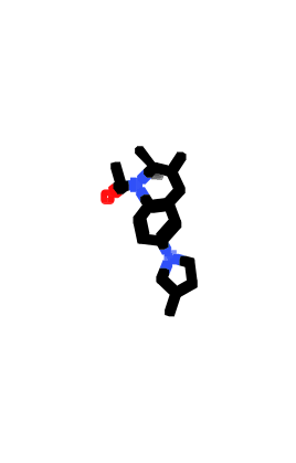 CC(=O)N1c2ccc(N3CCC(C)C3)cc2CC(C)[C@@H]1C